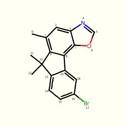 Cc1cc2ncoc2c2c1C(C)(C)c1ccc(Br)cc1-2